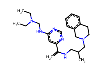 C=C(NCC(C)CN1CCc2ccccc2C1)c1cc(NCN(CC)CC)ncn1